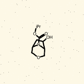 CC(C)OC(=O)N1C2COCC1C(O)C2